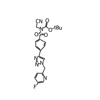 CC(C)(C)OC(=O)N(CC#N)S(=O)(=O)c1ccc(-c2cn(Cc3ccc(F)cn3)nn2)cc1